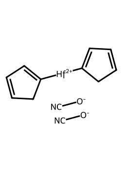 C1=CC[C]([Hf+2][C]2=CC=CC2)=C1.N#C[O-].N#C[O-]